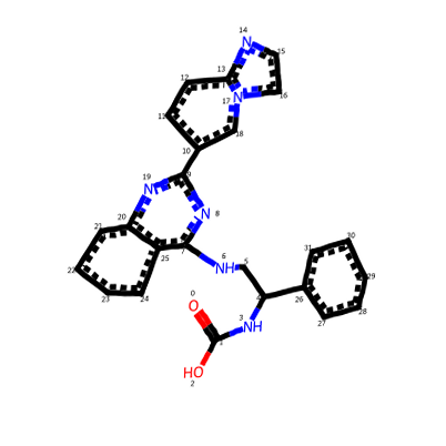 O=C(O)NC(CNc1nc(-c2ccc3nccn3c2)nc2ccccc12)c1ccccc1